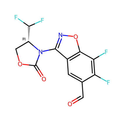 O=Cc1cc2c(N3C(=O)OC[C@@H]3C(F)F)noc2c(F)c1F